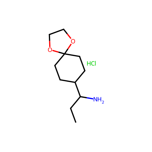 CCC(N)C1CCC2(CC1)OCCO2.Cl